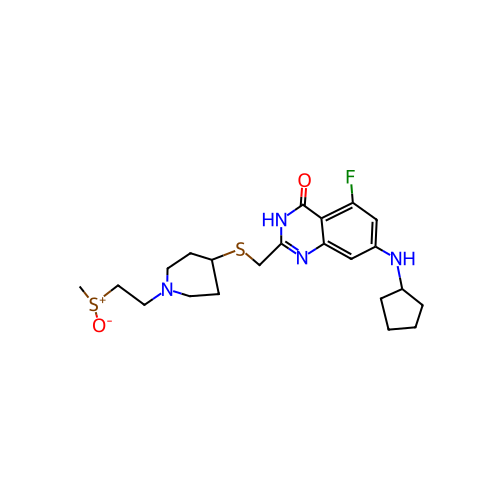 C[S+]([O-])CCN1CCC(SCc2nc3cc(NC4CCCC4)cc(F)c3c(=O)[nH]2)CC1